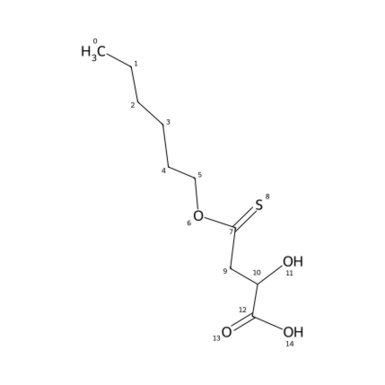 CCCCCCOC(=S)CC(O)C(=O)O